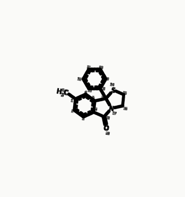 Cc1ccc2c(c1)C1(c3ccccc3)SCCN1C2=O